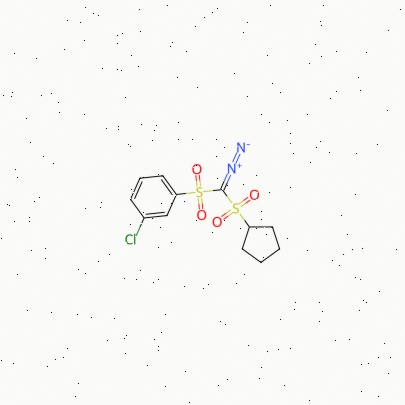 [N-]=[N+]=C(S(=O)(=O)c1cccc(Cl)c1)S(=O)(=O)C1CCCC1